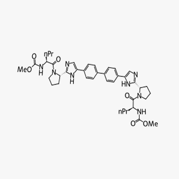 CCC[C@H](NC(=O)OC)C(=O)N1CCC[C@H]1c1ncc(-c2ccc(-c3ccc(-c4cnc([C@@H]5CCCN5C(=O)[C@H](CCC)NC(=O)OC)[nH]4)cc3)cc2)[nH]1